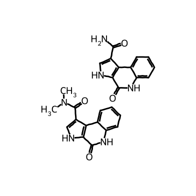 CN(C)C(=O)c1c[nH]c2c(=O)[nH]c3ccccc3c12.NC(=O)c1c[nH]c2c(=O)[nH]c3ccccc3c12